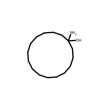 NC1(O)CCCCCCCCCCCCCCC1